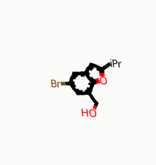 CC(C)c1cc2cc(Br)cc(CO)c2o1